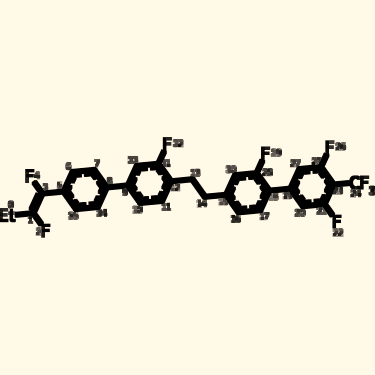 CC/C(F)=C(\F)c1ccc(-c2ccc(CCc3ccc(-c4cc(F)c(C(F)(F)F)c(F)c4)c(F)c3)c(F)c2)cc1